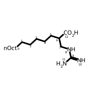 CCCCCCCCCCCCCC(CNC(=N)N)C(=O)O